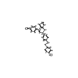 Clc1ccc(CSc2ccc(C(Cn3ccnc3)SCc3ccc(Cl)cc3)cc2)cc1